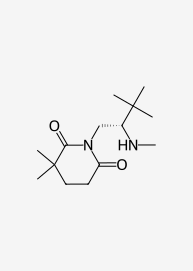 CN[C@H](CN1C(=O)CCC(C)(C)C1=O)C(C)(C)C